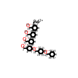 [C+4].[O-]Cc1ccccc1.[O-]Cc1ccccc1.[O-]Cc1ccccc1.[O-]Cc1ccccc1.[O-]Cc1ccccc1.[O-]Cc1ccccc1.[Pd+2]